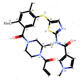 C=CC(=O)N1CCN(C(=O)c2cc(Sc3cnc(NC(=O)c4ccn(C)c4)s3)c(C)cc2OC)C[C@H]1CC